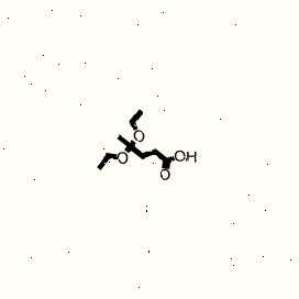 CCOC(C)(CCC(=O)O)OCC